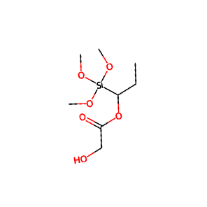 CCC(OC(=O)CO)[Si](OC)(OC)OC